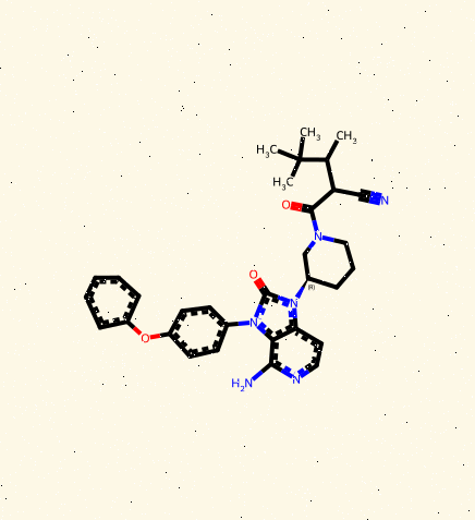 CC(C(C#N)C(=O)N1CCC[C@@H](n2c(=O)n(-c3ccc(Oc4ccccc4)cc3)c3c(N)nccc32)C1)C(C)(C)C